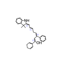 CC1(C)/C(=C\C=C\C/C=C(\C=C(/O)C2=CCCC=C2)c2ccccc2)Nc2ccccc21